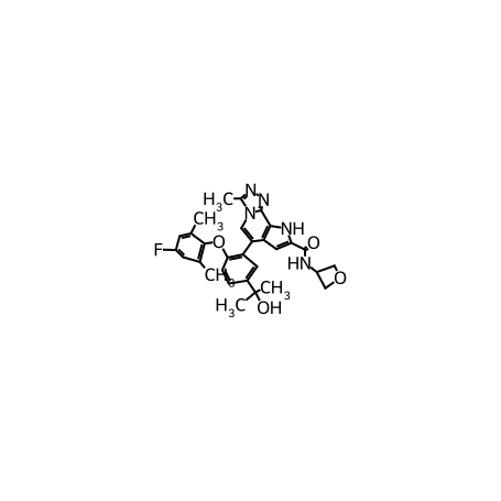 Cc1cc(F)cc(C)c1Oc1ccc(C(C)(C)O)cc1-c1cn2c(C)nnc2c2[nH]c(C(=O)NC3COC3)cc12